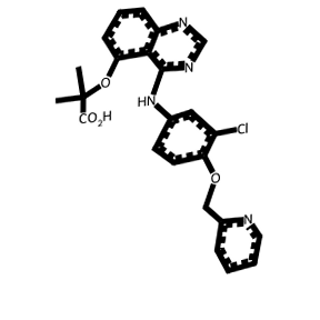 CC(C)(Oc1cccc2ncnc(Nc3ccc(OCc4ccccn4)c(Cl)c3)c12)C(=O)O